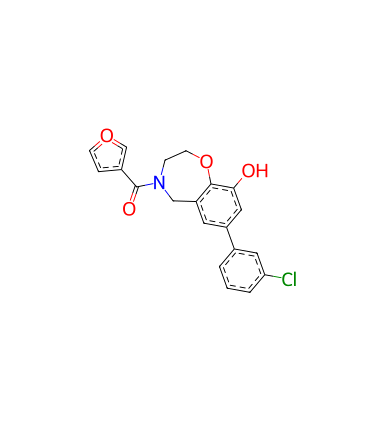 O=C(c1ccoc1)N1CCOc2c(O)cc(-c3cccc(Cl)c3)cc2C1